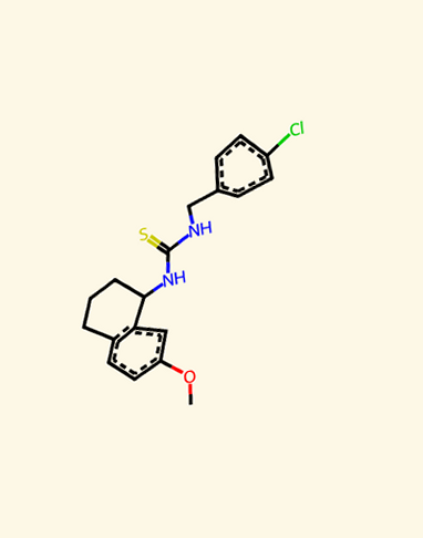 COc1ccc2c(c1)C(NC(=S)NCc1ccc(Cl)cc1)CCC2